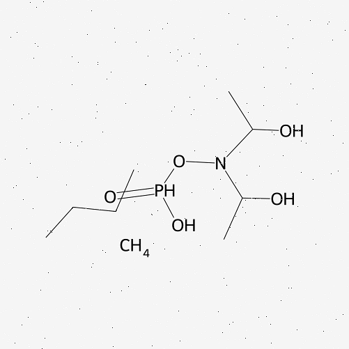 C.CC(O)N(O[PH](=O)O)C(C)O.CCCC